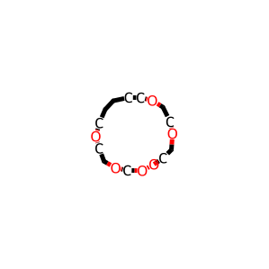 C1CCOCCOCCOOCOCCOCC1